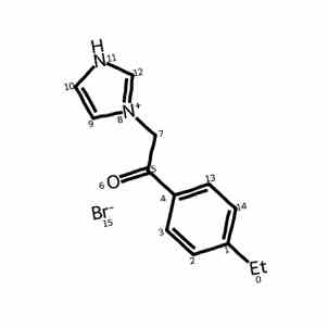 CCc1ccc(C(=O)C[n+]2cc[nH]c2)cc1.[Br-]